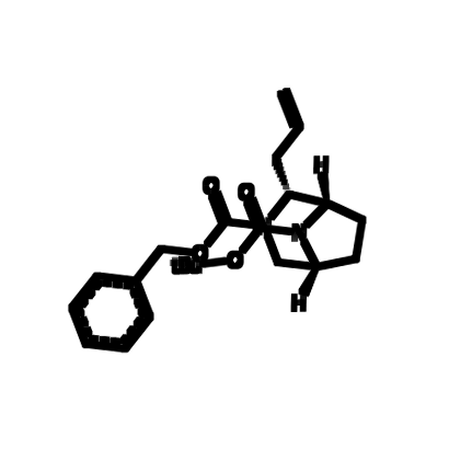 C=CC[C@@H]1[C@@H]2CC[C@H](CN1C(=O)OCc1ccccc1)N2C(=O)OC(C)(C)C